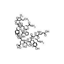 CC[C@H](C)[C@H](NC(=O)[C@@H](Cc1ccc(O)cc1)NC(=O)[C@H](CCC(N)=O)NC(=O)[C@@H]1CCCN1C(=O)[C@@H](C)NC(=O)[C@H](CCC(=O)O)NC(=O)[C@H](NC(=O)[C@H](Cc1ccc(O)cc1)NC(=O)[C@@H](CCCN)NC(=O)[C@@H](N)CCC(=O)O)[C@H](C)O)C(=O)O